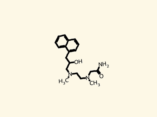 CN(CCN(C)CC(O)Cc1cccc2ccccc12)CC(N)=O